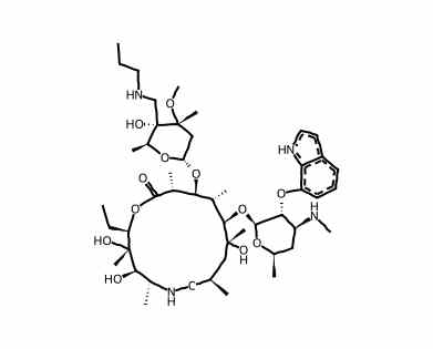 CCCNC[C@]1(O)[C@H](C)O[C@@H](O[C@H]2[C@H](C)[C@@H](O[C@@H]3O[C@H](C)C[C@H](NC)[C@H]3Oc3cccc4cc[nH]c34)[C@](C)(O)C[C@@H](C)CN[C@H](C)[C@@H](O)[C@](C)(O)[C@@H](CC)OC(=O)[C@@H]2C)C[C@@]1(C)OC